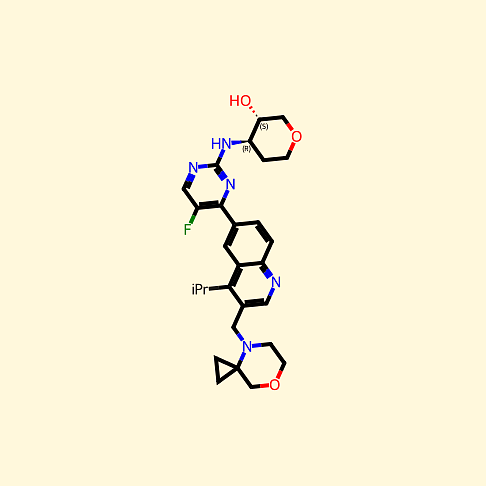 CC(C)c1c(CN2CCOCC23CC3)cnc2ccc(-c3nc(N[C@@H]4CCOC[C@H]4O)ncc3F)cc12